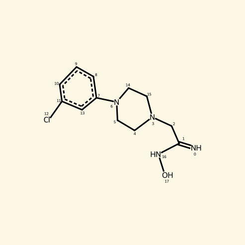 N=C(CN1CCN(c2cccc(Cl)c2)CC1)NO